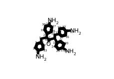 Nc1ccc(CC(C(=O)C(Cc2ccc(N)cc2)c2ccc(N)cc2)c2ccc(N)cc2)cc1